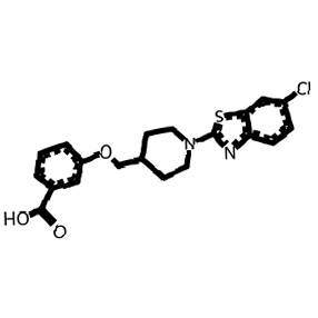 O=C(O)c1cccc(OCC2CCN(c3nc4ccc(Cl)cc4s3)CC2)c1